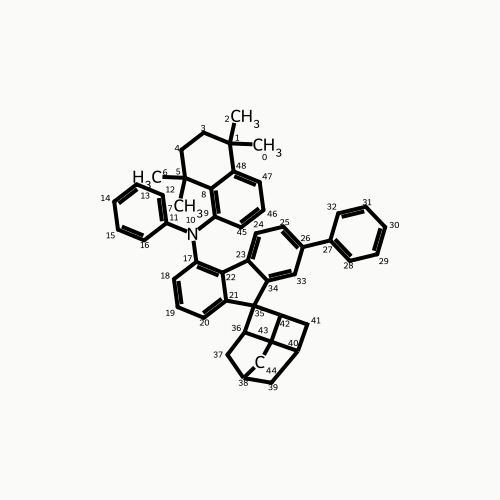 CC1(C)CCC(C)(C)c2c(N(c3ccccc3)c3cccc4c3-c3ccc(-c5ccccc5)cc3C43C4CC5CC6CC3C64C5)cccc21